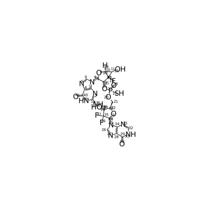 Nc1nc2c(ncn2[C@@H]2O[C@@H]3C(O)[C@]3(F)[C@H]2OP(=O)(S)OC[C@H]2O[C@@H](n3cnc4c(=O)[nH]cnc43)C(F)(F)[C@@H]2O)c(=O)[nH]1